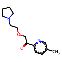 Cc1ccc(C(=O)COCCN2CCCC2)nc1